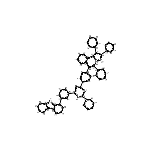 c1ccc(-c2nc(-c3ccc(-c4c(-c5ccccc5)n5nc(-c6ccccc6)c(-c6ccccc6)c5c5ccccc45)cc3)cc(-c3cccc(-c4cccc5c4oc4ccccc45)c3)n2)cc1